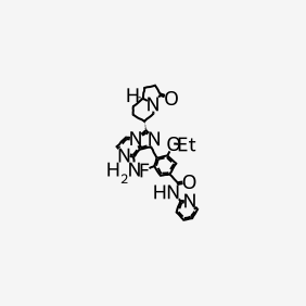 CCOc1cc(C(=O)Nc2ccccn2)cc(F)c1-c1nc([C@@H]2CC[C@H]3CCC(=O)N3C2)n2ccnc(N)c12